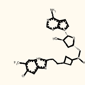 CC(C)N(C[C@@H]1C[C@@H](O)[C@H](n2ccc3c(N)ncnc32)O1)C1CC(CCc2nc3cc(Cl)c(C(F)(F)F)cc3[nH]2)C1